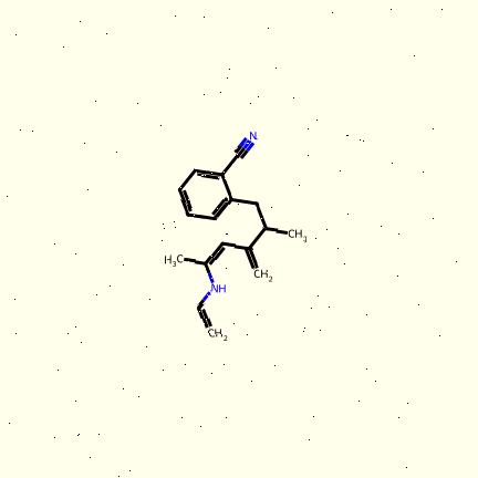 C=CN/C(C)=C\C(=C)C(C)Cc1ccccc1C#N